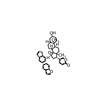 C1=Cc2ccccc2C1.C[C@]12CC[C@H](O)C[C@H]1CC[C@@H]1[C@@H]2CC[C@]2(C)[C@@H](c3ccc(=O)oc3)C[C@H]3O[C@]132.c1ccc2occc2c1